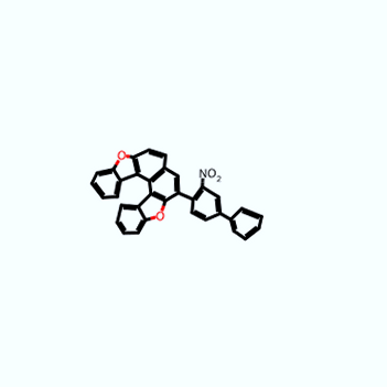 O=[N+]([O-])c1cc(-c2ccccc2)ccc1-c1cc2ccc3oc4ccccc4c3c2c2c1oc1ccccc12